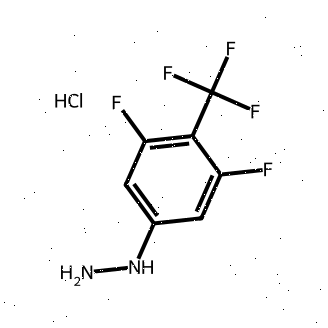 Cl.NNc1cc(F)c(C(F)(F)F)c(F)c1